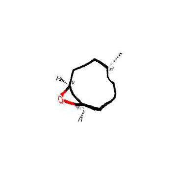 C[C@@H]1CCC[C@H]2O[C@H]2CC1